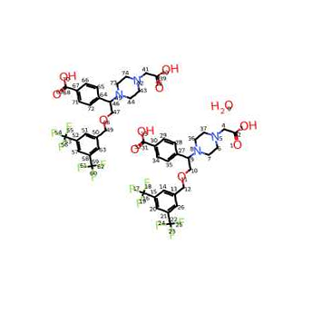 O.O=C(O)CN1CCN(C(COCc2cc(C(F)(F)F)cc(C(F)(F)F)c2)c2ccc(C(=O)O)cc2)CC1.O=C(O)CN1CCN(C(COCc2cc(C(F)(F)F)cc(C(F)(F)F)c2)c2ccc(C(=O)O)cc2)CC1